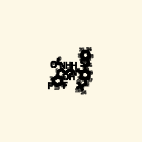 CC(=O)NC(Cc1cc(F)cc(F)c1)C(O)CNCc1cc(CC(C)(C)C)ccc1-c1cc2ccccc2s1